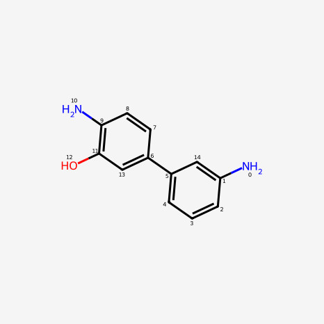 Nc1cccc(-c2ccc(N)c(O)c2)c1